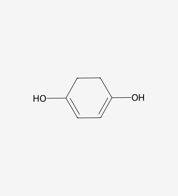 OC1=CC=C(O)CC1